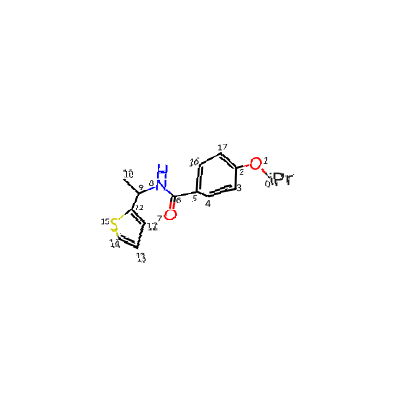 CC(C)Oc1ccc(C(=O)NC(C)c2cccs2)cc1